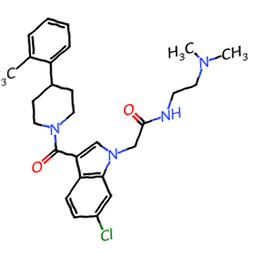 CN(C)CCNC(=O)Cn1cc(C(=O)N2CCC(c3ccccc3C(F)(F)F)CC2)c2ccc(Cl)cc21